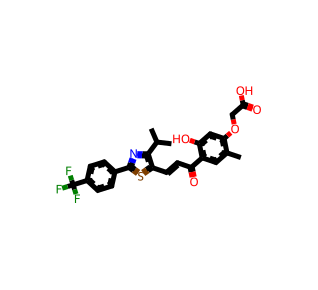 Cc1cc(C(=O)C=Cc2sc(-c3ccc(C(F)(F)F)cc3)nc2C(C)C)c(O)cc1OCC(=O)O